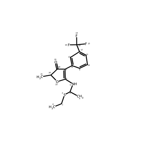 CCSC(C)NC1=C(c2cccc(C(F)(F)F)c2)C(=O)C(C)O1